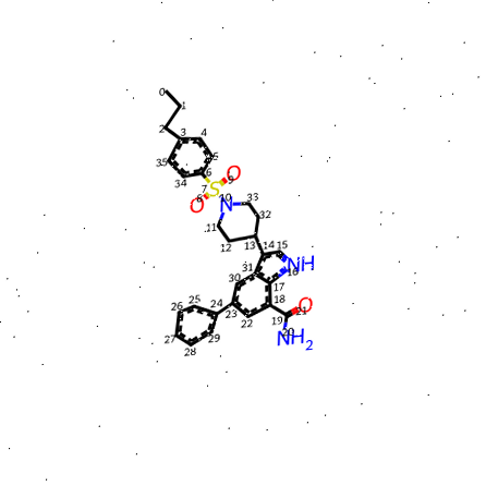 CCCc1ccc(S(=O)(=O)N2CCC(c3c[nH]c4c(C(N)=O)cc(-c5ccccc5)cc34)CC2)cc1